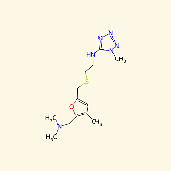 Cc1cc(CSCCNc2nnnn2C)oc1CN(C)C